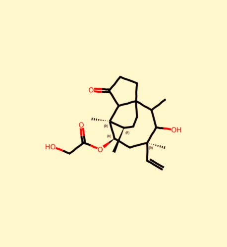 C=C[C@@]1(C)C[C@@H](OC(=O)CO)[C@@]2(C)C3C(=O)CCC3(CC[C@H]2C)C(C)C1O